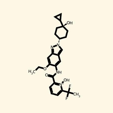 CCOc1cc2nn([C@H]3CC[C@@](O)(C4CC4)CC3)cc2cc1NC(=O)c1cccc(C(C)(F)F)[n+]1O